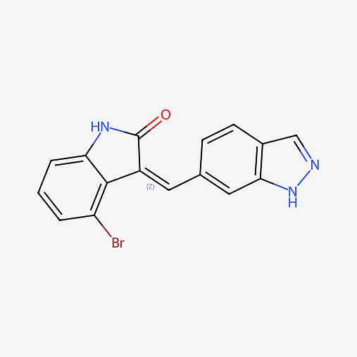 O=C1Nc2cccc(Br)c2/C1=C/c1ccc2cn[nH]c2c1